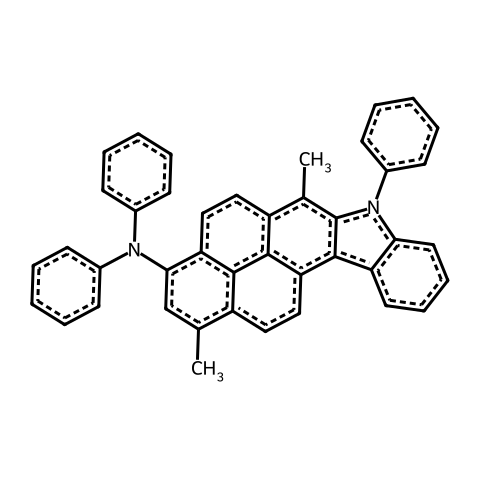 Cc1cc(N(c2ccccc2)c2ccccc2)c2ccc3c(C)c4c(c5ccc1c2c35)c1ccccc1n4-c1ccccc1